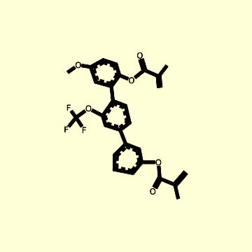 C=C(C)C(=O)Oc1cccc(-c2ccc(-c3cc(OC)ccc3OC(=O)C(=C)C)c(OC(F)(F)F)c2)c1